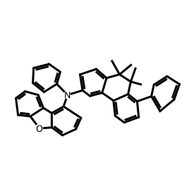 CC1(C)c2ccc(N(c3ccccc3)c3cccc4oc5ccccc5c34)cc2-c2cccc(-c3ccccc3)c2C1(C)C